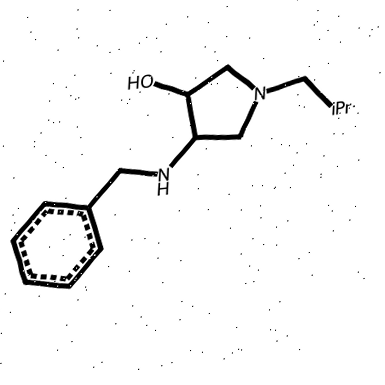 C[C](C)CN1CC(O)C(NCc2ccccc2)C1